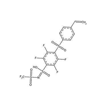 C=Cc1ccc(S(=O)(=O)c2c(F)c(F)c(S(=O)(O)=NS(=O)(=O)C(F)(F)F)c(F)c2F)cc1